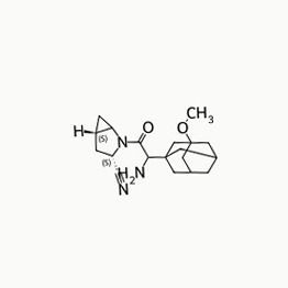 COC12CC3CC(C1)CC(C(N)C(=O)N1C4C[C@H]4C[C@H]1C#N)(C3)C2